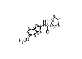 O=C(Nc1nc2ccc(OC(F)(F)F)cc2s1)[C@H]1CCCCN1